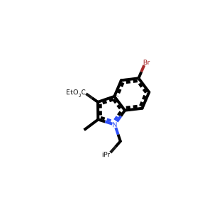 CCOC(=O)c1c(C)n(CC(C)C)c2ccc(Br)cc12